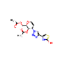 CC(=O)OCC1OC=C[C@@H](n2cc(-c3csc(O)n3)nn2)C1OC(C)=O